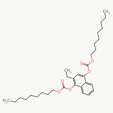 CCCCCCCCCOC(=O)Oc1cc(CC)c(OC(=O)OCCCCCCCCC)c2ccccc12